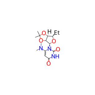 CC[C@H]1O[C@@H](n2c(N(C)C)cc(=O)[nH]c2=O)C2OC(C)(C)O[C@H]21